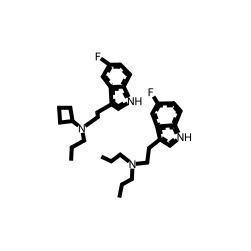 CCCN(CCC)CCc1c[nH]c2ccc(F)cc12.CCCN(CCc1c[nH]c2ccc(F)cc12)C1CCC1